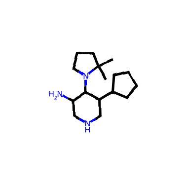 CC1(C)CCCN1C1C(N)CNCC1C1CCCC1